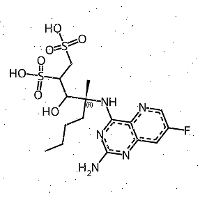 CCCC[C@@](C)(Nc1nc(N)nc2cc(F)cnc12)C(O)C(CS(=O)(=O)O)S(=O)(=O)O